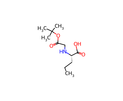 CCC[C@H](NCC(=O)OC(C)(C)C)C(=O)O